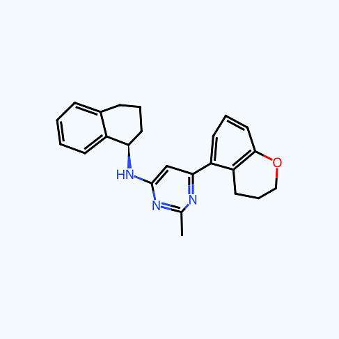 Cc1nc(N[C@@H]2CCCc3ccccc32)cc(-c2cccc3c2CCCO3)n1